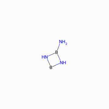 NB1N[B]N1